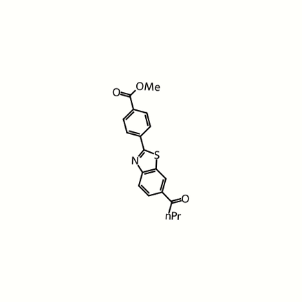 CCCC(=O)c1ccc2nc(-c3ccc(C(=O)OC)cc3)sc2c1